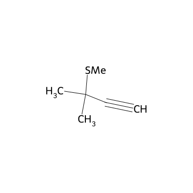 C#CC(C)(C)S[CH2]